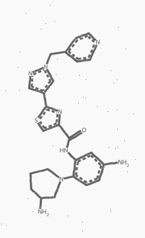 Nc1ccc(N2CCCC(N)C2)c(NC(=O)c2csc(-c3cnn(Cc4ccncc4)c3)n2)c1